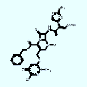 COC=C(C(=O)NC1C(=O)N2C(C(=O)OCc3ccccc3)=C(CSc3cc(=O)c(Cl)nn3C)C[S+]([O-])C12)c1csc(N)n1